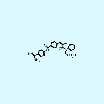 CC(=Cc1ccc(C(=O)Oc2ccc(C(=N)N)cc2)cc1)C(=O)N(CC(=O)O)c1ccccc1